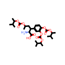 CC(CC(c1ccc(OC(=O)OC(C)C(C)C)c(OC(=O)OC(C)C(C)C)c1)[C@H](N)C(=O)O)OC(=O)OC(C)C(C)C